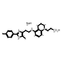 Cc1ccc(-c2nc(CCOc3cccc4c3CCCN4CCC(=O)O)c(C)o2)cc1.[NaH]